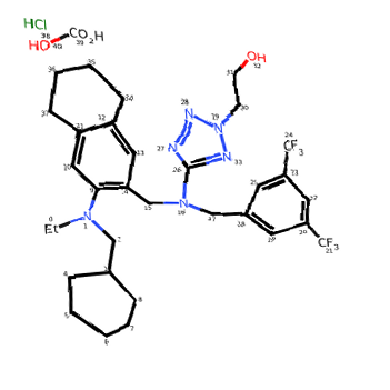 CCN(CC1CCCCC1)c1cc2c(cc1CN(Cc1cc(C(F)(F)F)cc(C(F)(F)F)c1)c1nnn(CCO)n1)CCCC2.Cl.O=C(O)O